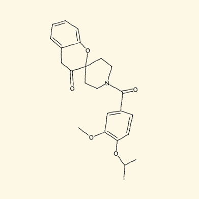 COc1cc(C(=O)N2CCC3(CC2)Oc2ccccc2CC3=O)ccc1OC(C)C